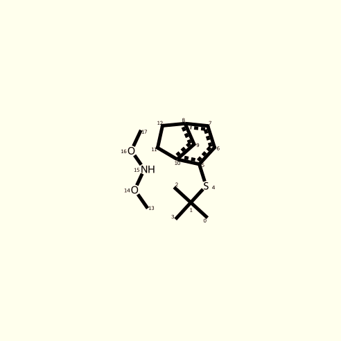 CC(C)(C)Sc1ccc2cc1CC2.CONOC